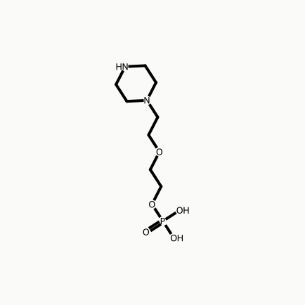 O=P(O)(O)OCCOCCN1CCNCC1